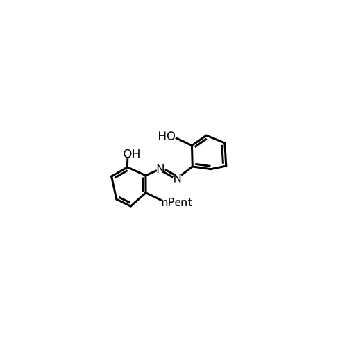 CCCCCc1cccc(O)c1N=Nc1ccccc1O